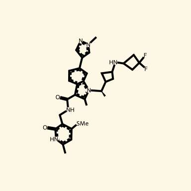 CSc1cc(C)[nH]c(=O)c1CNC(=O)c1c(C)n([C@H](C)C2CC(NC3CC(F)(F)C3)C2)c2cc(-c3cnn(C)c3)ccc12